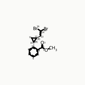 COC(=O)c1ccccc1[C@@H]1C[C@H]1C=C(Br)Br